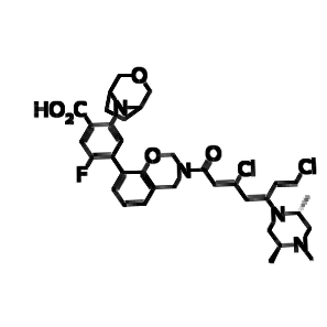 C[C@@H]1CN(C)[C@@H](C)CN1C(/C=C/Cl)=C/C(Cl)=C/C(=O)N1COc2c(cccc2-c2cc(N3C4CCC3COC4)c(C(=O)O)cc2F)C1